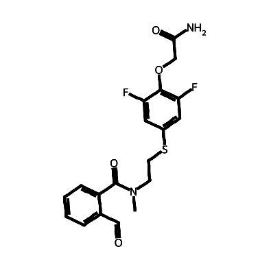 CN(CCSc1cc(F)c(OCC(N)=O)c(F)c1)C(=O)c1ccccc1C=O